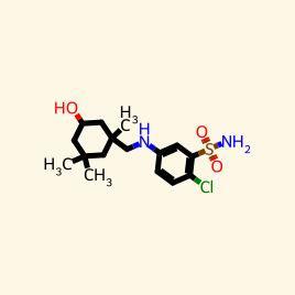 CC1(C)CC(O)CC(C)(CNc2ccc(Cl)c(S(N)(=O)=O)c2)C1